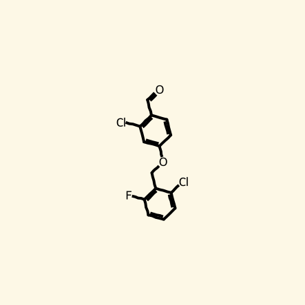 O=Cc1ccc(OCc2c(F)cccc2Cl)cc1Cl